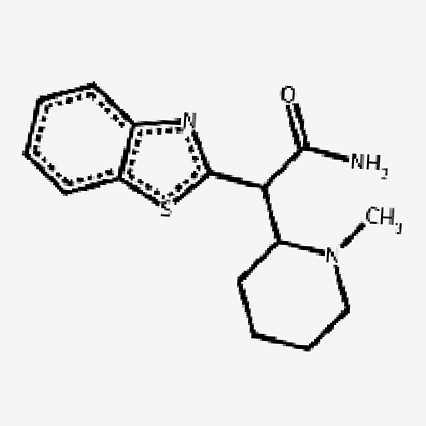 CN1CCCCC1C(C(N)=O)c1nc2ccccc2s1